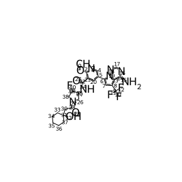 COc1ncc(-c2cc(C(F)(F)F)c3c(N)ncnn23)cc1C(=O)N[C@@H]1CN(C(=O)CC2(O)CCCCC2)C[C@@H]1F